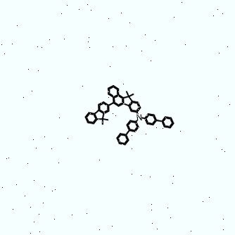 CC1(C)c2ccccc2-c2ccc(-c3cc4c(c5ccccc35)C(C)(C)c3ccc(N(c5ccc(-c6ccccc6)cc5)c5ccc(-c6ccccc6)cc5)cc3-4)cc21